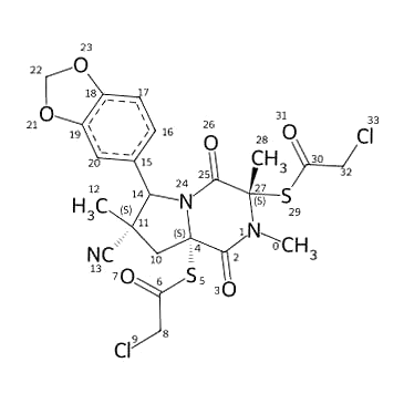 CN1C(=O)[C@@]2(SC(=O)CCl)C[C@](C)(C#N)C(c3ccc4c(c3)OCO4)N2C(=O)[C@]1(C)SC(=O)CCl